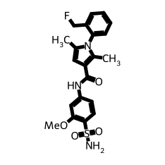 COc1cc(NC(=O)c2cc(C)n(-c3ccccc3CF)c2C)ccc1S(N)(=O)=O